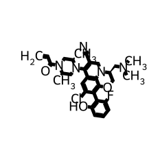 C=CC(=O)N1C[C@H](C)N(C2=C(C#N)CN3c4c2cc(Cl)c(-c2c(O)cccc2F)c4OC[C@@H]3CN(C)C)C[C@H]1C